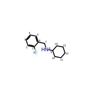 Fc1ccccc1CNC1CCCCC1